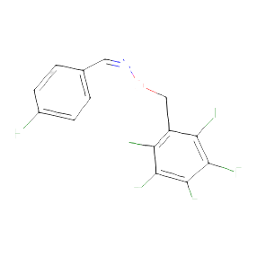 Fc1ccc(/[C]=N\OCc2c(F)c(F)c(F)c(F)c2F)cc1